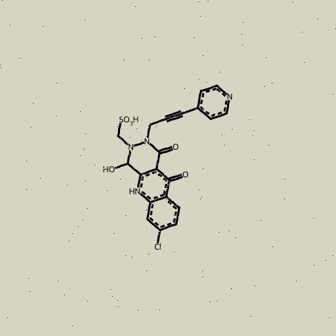 O=C1c2c([nH]c3cc(Cl)ccc3c2=O)C(O)N(CS(=O)(=O)O)N1CC#Cc1ccncc1